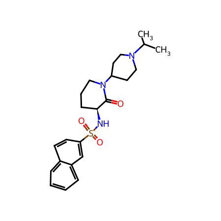 CC(C)N1CCC(N2CCC[C@H](NS(=O)(=O)c3ccc4ccccc4c3)C2=O)CC1